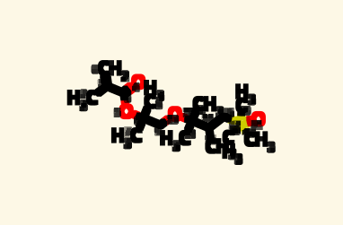 C=C(C)C(=O)OC(C)(C)COC(C)(C)C(C)CS(C)(C)(C)=O